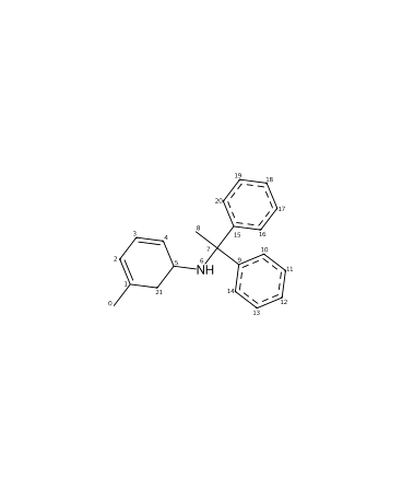 CC1=CC=CC(NC(C)(c2ccccc2)c2ccccc2)C1